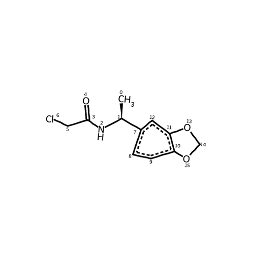 C[C@H](NC(=O)CCl)c1ccc2c(c1)OCO2